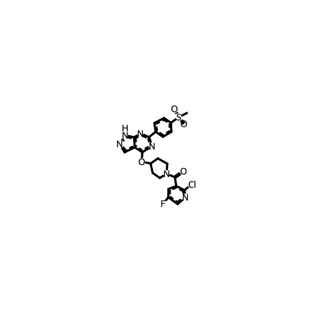 CS(=O)(=O)c1ccc(-c2nc(OC3CCN(C(=O)c4cc(F)cnc4Cl)CC3)c3cn[nH]c3n2)cc1